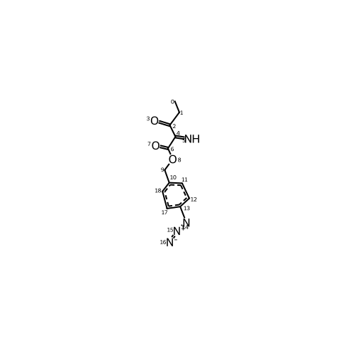 CCC(=O)C(=N)C(=O)OCc1ccc(N=[N+]=[N-])cc1